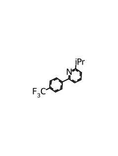 CC(C)c1cccc(-c2ccc(C(F)(F)F)cc2)n1